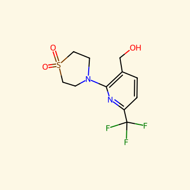 O=S1(=O)CCN(c2nc(C(F)(F)F)ccc2CO)CC1